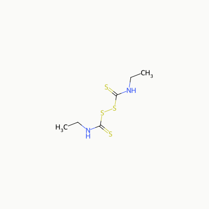 CCNC(=S)SSC(=S)NCC